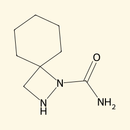 NC(=O)N1NCC12CCCCC2